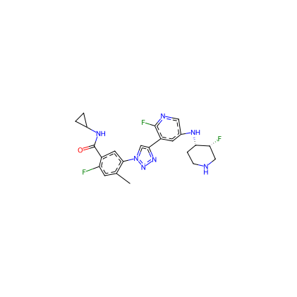 Cc1cc(F)c(C(=O)NC2CC2)cc1-n1cc(-c2cc(N[C@H]3CCNC[C@H]3F)cnc2F)nn1